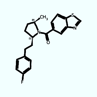 C[C@@H]1CC[C@H](CCc2ccc(F)cc2)N1C(=O)c1ccc2scnc2c1